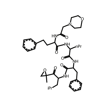 CCCC(NC(=O)C(CCc1ccccc1)NC(=O)CN1CCOCC1)C(=O)NC(Cc1ccccc1)C(=O)NC(CC(C)C)C(=O)C1(C)CO1